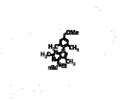 CCCCN(CC)c1nc(C)nc2c1c(C)cn2-c1c(C)cc(COC)cc1C